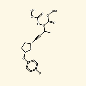 CC(C#C[C@@H]1CC[C@H](Oc2ccc(F)cc2)C1)N(OC(=O)OC(C)(C)C)C(=O)OC(C)(C)C